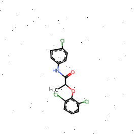 CC(Oc1c(Cl)cccc1Cl)C(=O)Nc1ccc(Cl)cc1